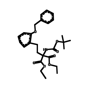 CCOC(=O)C(CCc1ccccc1OCc1ccccc1)(NC(=O)OC(C)(C)C)C(=O)OCC